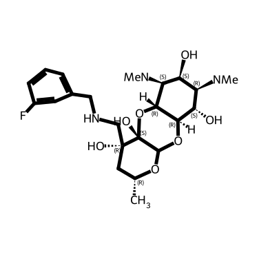 CN[C@@H]1[C@H](O)[C@H](NC)[C@H]2O[C@]3(O)C(O[C@@H]2[C@H]1O)O[C@H](C)C[C@@]3(O)CNCc1cccc(F)c1